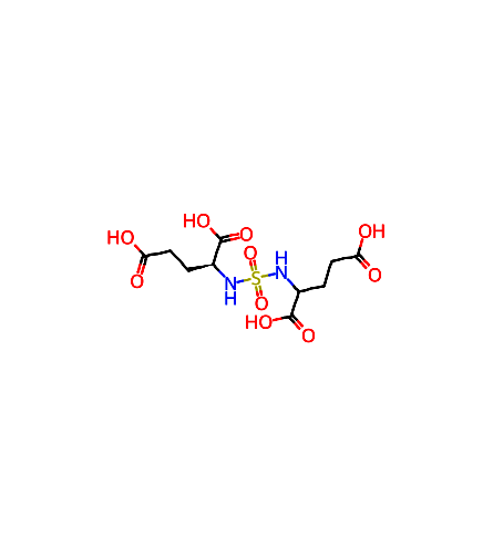 O=C(O)CCC(NS(=O)(=O)N[C@@H](CCC(=O)O)C(=O)O)C(=O)O